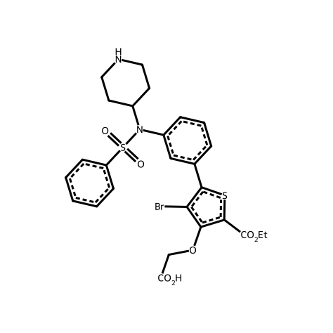 CCOC(=O)c1sc(-c2cccc(N(C3CCNCC3)S(=O)(=O)c3ccccc3)c2)c(Br)c1OCC(=O)O